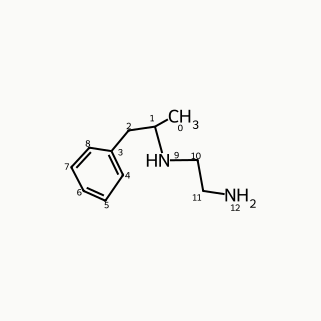 CC(Cc1ccccc1)NCCN